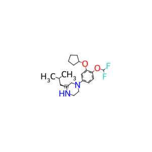 CC(C)C[C@H]1CN(c2ccc(OC(F)F)c(OC3CCCC3)c2)CCN1